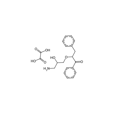 NCC(O)COC(Cc1ccccc1)C(=O)c1ccccc1.O=C(O)C(=O)O